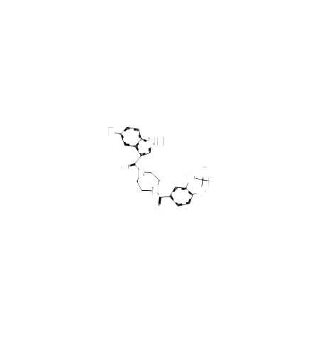 O=C(c1ccc2c(c1)OC(F)(F)O2)N1CCN(C(=O)c2c[nH]c3ccc(F)cc23)CC1